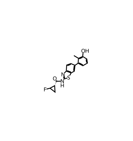 Cc1c(O)cccc1-c1ccc2nc(NC(=O)[C@@H]3CC3F)sc2c1